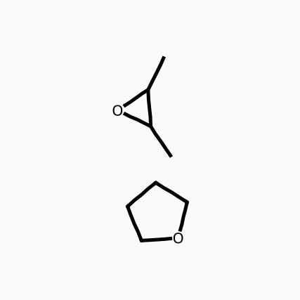 C1CCOC1.CC1OC1C